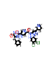 NC(=O)[C@H](Cc1ccccc1)NC(=O)c1ccc(C(=O)Nc2cc(-c3cccnc3)nn2-c2ccc(Cl)c(Cl)c2)nc1